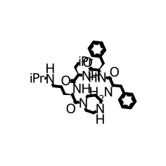 CC(C)C[C@@H](NC(=O)[C@@H](Cc1ccccc1)NC(=O)[C@H](N)Cc1ccccc1)C(=O)N[C@H](CCCNC(C)C)C(=O)N1CCCNCC1